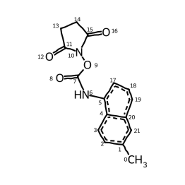 Cc1ccc2c(NC(=O)ON3C(=O)CCC3=O)cccc2c1